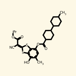 Cc1cc(OC(=O)C2CCC(C3CCC(C)CC3)CC2)c2c(c1O)S/C(=C(\C#N)C(=O)OC(C)C)S2